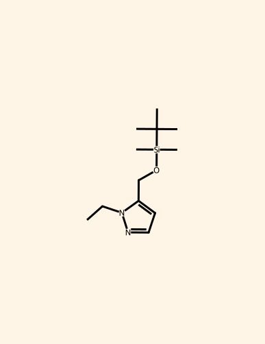 CCn1nccc1CO[Si](C)(C)C(C)(C)C